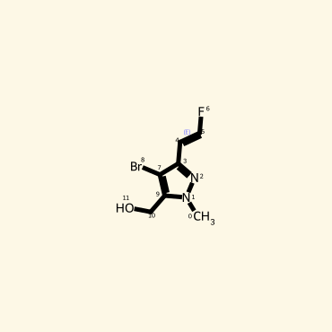 Cn1nc(/C=C/F)c(Br)c1CO